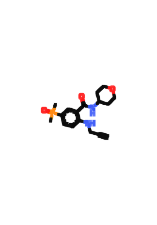 C#CCNc1ccc(P(C)(C)=O)cc1C(=O)NC1CCOCC1